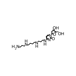 NCCCNCCCCNCCCNc1ccn([C@H]2C[C@H](O)[C@@H](CO)O2)c(=O)n1